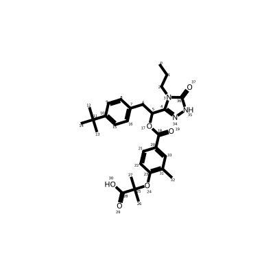 CCCn1c(C(Cc2ccc(C(C)(C)C)cc2)OC(=O)c2ccc(OC(C)(C)C(=O)O)c(C)c2)n[nH]c1=O